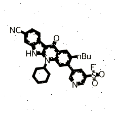 CCCCc1cc2c(=O)c3c4ccc(C#N)cc4[nH]c3n(C3CCCCC3)c2cc1-c1cncc(S(=O)(=O)F)c1